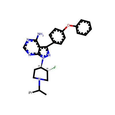 CC(C)C(C)N1CC[C@@H](n2nc(-c3ccc(Oc4ccccc4)cc3)c3c(N)ncnc32)[C@H](F)C1